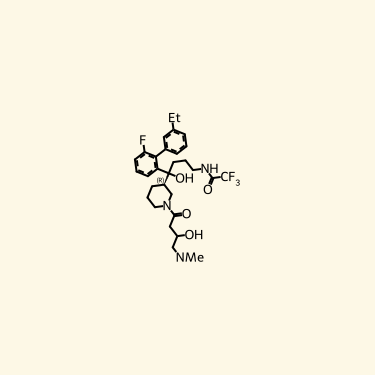 CCc1cccc(-c2c(F)cccc2C(O)(CCCNC(=O)C(F)(F)F)[C@@H]2CCCN(C(=O)CC(O)CNC)C2)c1